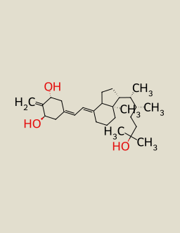 C=C1[C@H](O)CC(=C/C=C2\CCC[C@@]3(C)C2CC[C@@H]3[C@H](C)[C@H](C)CCC(C)(C)O)C[C@H]1O